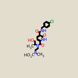 CC(CO)N(CCN(C)C(=O)O)C(=O)c1ccc(C(=O)NCc2ccc(Cl)cc2)c(=O)[nH]1